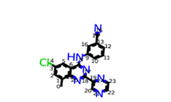 Cc1cc(Cl)cc2c(Nc3cccc(C#N)c3)nc(-c3cnccn3)nc12